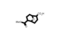 COC(=O)C1CCC2OC1CCC2C(=O)O